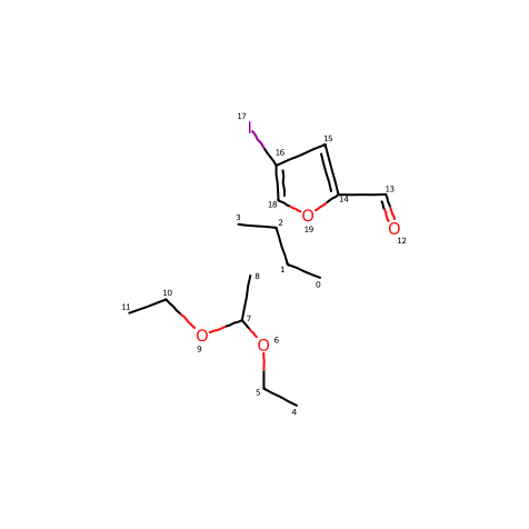 CCCC.CCOC(C)OCC.O=Cc1cc(I)co1